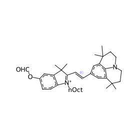 CCCCCCCC[N+]1=C(/C=C/c2cc3c4c(c2)C(C)(C)CCN4CCC3(C)C)C(C)(C)c2cc(OC=O)ccc21